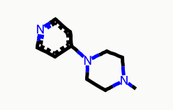 CN1CCN(c2ccncc2)CC1